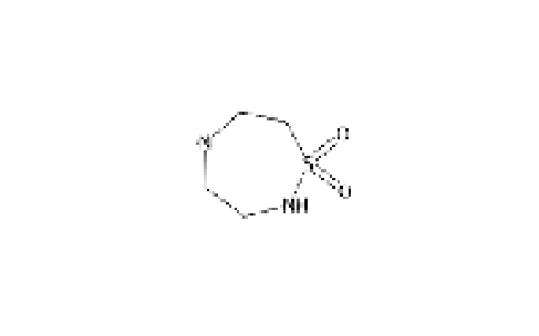 O=S1(=O)CC[N]CCN1